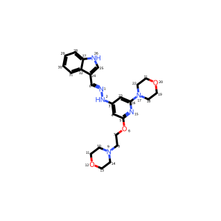 C(=NNc1cc(OCCN2CCOCC2)nc(N2CCOCC2)c1)c1c[nH]c2ccccc12